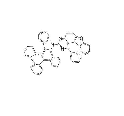 c1ccc(-c2nc(-n3c4ccccc4c4c5c6ccccc6c6ccccc6c5c5ccccc5c43)nc3ccc4oc5ccccc5c4c23)cc1